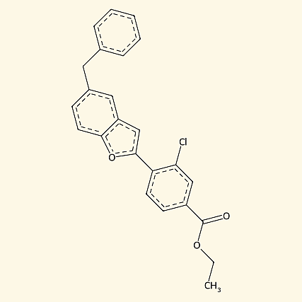 CCOC(=O)c1ccc(-c2cc3cc(Cc4ccccc4)ccc3o2)c(Cl)c1